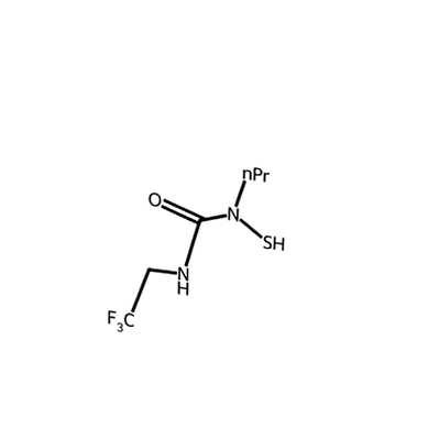 [CH2]CCN(S)C(=O)NCC(F)(F)F